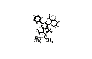 CCOC(=O)C(CC(C)C)c1cc(-c2ccccc2)cc(N2CCCCC2CC)c1C(F)(F)F